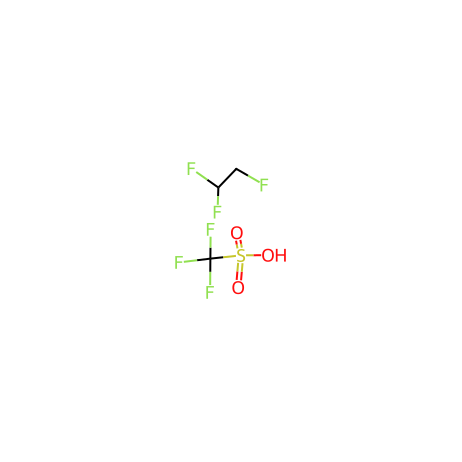 FCC(F)F.O=S(=O)(O)C(F)(F)F